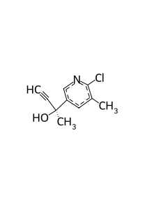 C#C[C@](C)(O)c1cnc(Cl)c(C)c1